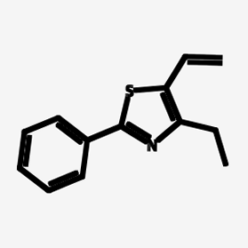 C=Cc1sc(-c2ccccc2)nc1CC